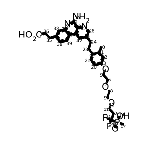 Cc1cc(OCCOCCOCCC(F)(F)P(C)(=O)O)ccc1CCc1cnc2c(N)nc3cc(CCC(=O)O)ccc3c2c1